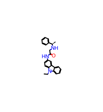 CCn1c2ccccc2c2cc(NC(=O)CN[C@H](C)c3ccccc3)ccc21